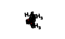 C=CC(=O)N(C)[C@H]1COC[C@@H](Oc2nc(-c3cnn(C)c3)cn3nccc23)C1